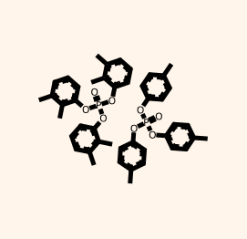 Cc1ccc(OP(=O)(Oc2ccc(C)cc2)Oc2ccc(C)cc2)cc1.Cc1cccc(OP(=O)(Oc2cccc(C)c2C)Oc2cccc(C)c2C)c1C